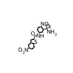 NC(=O)c1cc(NC(=O)c2cc3cc([N+](=O)[O-])ccc3s2)ccc1[N+](=O)[O-]